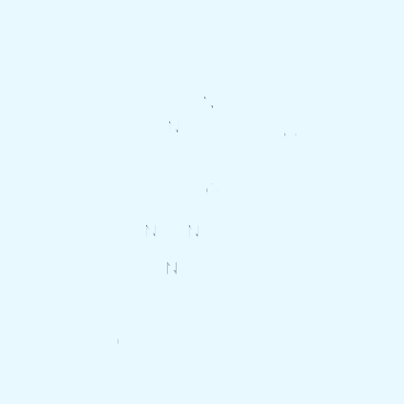 c1ccc2c(N(c3ccc4c(c3)oc3ccccc34)c3cc4oc5nc(N(c6ccc7c(c6)oc6ccccc67)c6cccc7ccccc67)ncc5c4cn3)cccc2c1